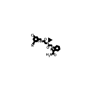 N#Cc1cc(Cl)cc(CNC(=O)CN(C(=O)Cn2nc(C(N)=O)c3ccccc32)C2CC2)c1